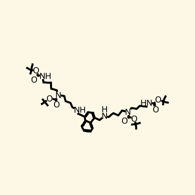 CC(C)(C)OC(=O)NCCCCN(CCCCNCc1ccc(CNCCCCN(CCCCNC(=O)OC(C)(C)C)C(=O)OC(C)(C)C)c2ccccc12)C(=O)OC(C)(C)C